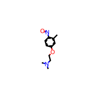 Cc1cc(OCCN(C)C)ccc1N=O